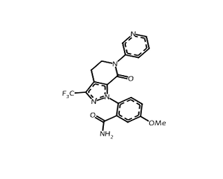 COc1ccc(-n2nc(C(F)(F)F)c3c2C(=O)N(c2cccnc2)CC3)c(C(N)=O)c1